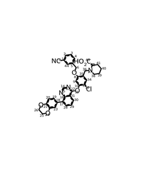 N#Cc1cccc(COc2cc(Oc3ncnc4c(-c5ccc6c(c5)OCCO6)cccc34)c(Cl)cc2CN2CCCC[C@@H]2C(=O)O)c1